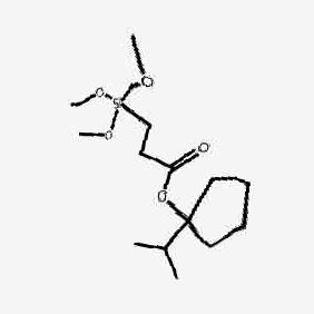 CO[Si](CCC(=O)OC1(C(C)C)CCCC1)(OC)OC